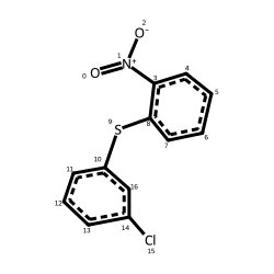 O=[N+]([O-])c1ccccc1Sc1cccc(Cl)c1